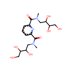 CN(CC(O)C(O)CO)C(=O)c1cccc(C(=O)N(C)CC(O)C(O)CO)n1